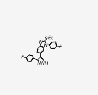 CCSc1nc2ccc(-c3c[nH]nc3-c3ccc(F)cc3)cc2n1-c1ccc(F)cc1